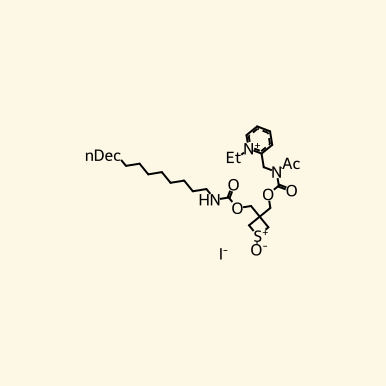 CCCCCCCCCCCCCCCCCCNC(=O)OCC1(COC(=O)N(Cc2cccc[n+]2CC)C(C)=O)C[S+]([O-])C1.[I-]